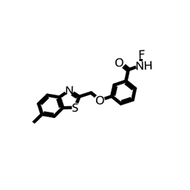 Cc1ccc2nc(COc3cccc(C(=O)NF)c3)sc2c1